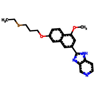 CCSCCCOc1ccc2c(OC)cc(-c3nc4cnccc4[nH]3)cc2c1